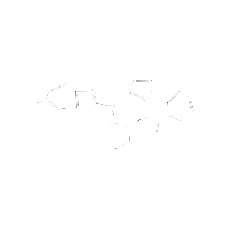 O=C(N[C@H]1CCC[C@H]1Nc1nc2ccc(F)cc2s1)c1ccccc1-n1cccn1